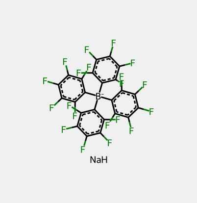 Fc1c(F)c(F)c([B-](c2c(F)c(F)c(F)c(F)c2F)(c2c(F)c(F)c(F)c(F)c2F)c2c(F)c(F)c(F)c(F)c2F)c(F)c1F.[NaH]